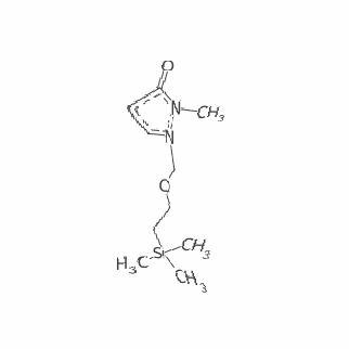 Cn1c(=O)ccn1COCC[Si](C)(C)C